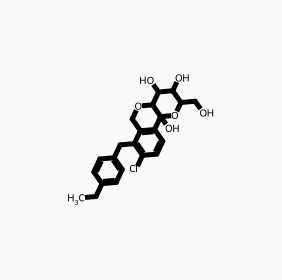 CCc1ccc(Cc2c(Cl)ccc3c2COC2C(O)C(O)C(CO)OC32O)cc1